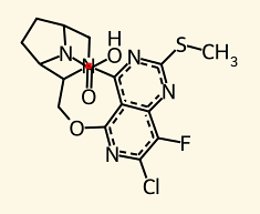 CSc1nc2c3c(nc(Cl)c(F)c3n1)OCC1C3CCC(CN21)N3C(=O)O